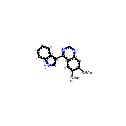 COc1cc2ncnc(-c3c[nH]c4ccccc34)c2cc1OC